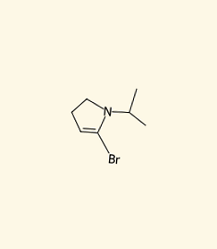 CC(C)N1CCC=C1Br